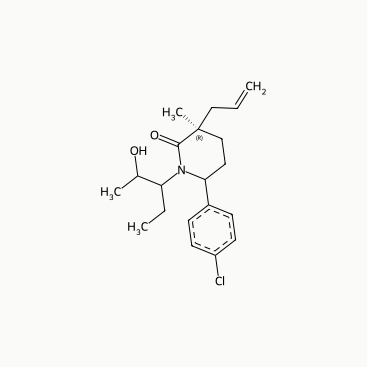 C=CC[C@@]1(C)CCC(c2ccc(Cl)cc2)N(C(CC)C(C)O)C1=O